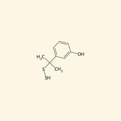 CC(C)(SS)c1cccc(O)c1